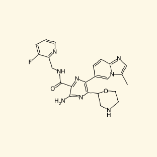 Cc1cnc2ccc(-c3nc(C(=O)NCc4ncccc4F)c(N)nc3C3CNCCO3)cn12